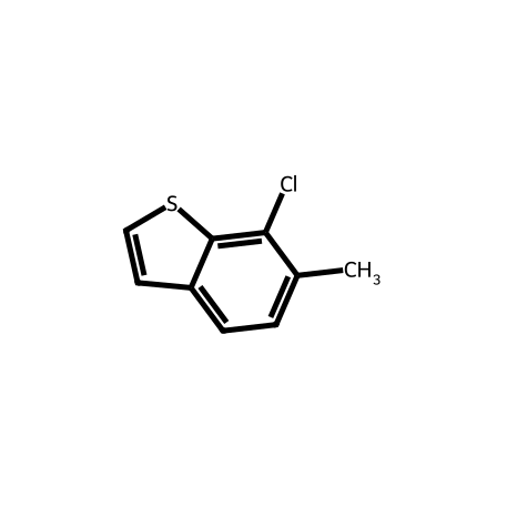 Cc1ccc2ccsc2c1Cl